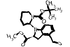 COC(=O)[C@@H]1Cc2c(C=O)cccc2N1[C@H]1CCCCN1C(=O)OC(C)(C)C